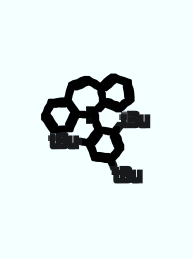 CC(C)(C)c1cc(C(C)(C)C)c(B2c3ccccc3C=Cc3ccccc32)c(C(C)(C)C)c1